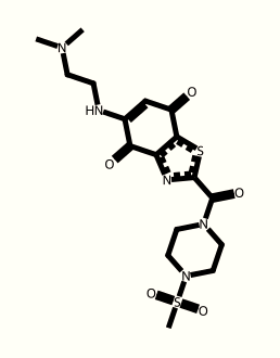 CN(C)CCNC1=CC(=O)c2sc(C(=O)N3CCN(S(C)(=O)=O)CC3)nc2C1=O